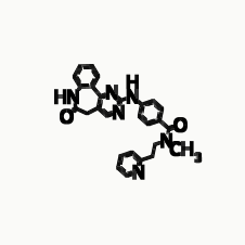 CN(CCc1ccccn1)C(=O)c1ccc(Nc2ncc3c(n2)-c2ccccc2NC(=O)C3)cc1